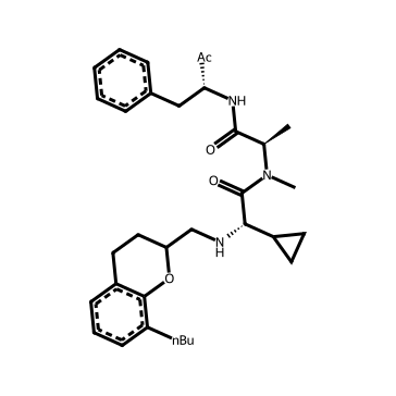 CCCCc1cccc2c1OC(CN[C@H](C(=O)N(C)[C@H](C)C(=O)N[C@H](Cc1ccccc1)C(C)=O)C1CC1)CC2